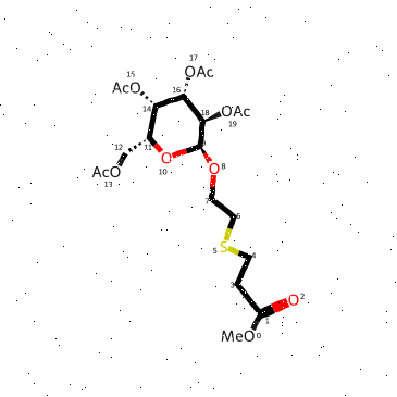 COC(=O)CCSCCO[C@H]1O[C@H](COC(C)=O)[C@H](OC(C)=O)[C@H](OC(C)=O)[C@H]1OC(C)=O